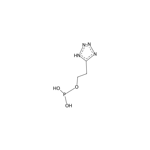 OP(O)OCCc1nnn[nH]1